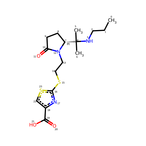 CCCNC(C)(C)[C@H]1CCC(=O)N1CCSc1nc(C(=O)O)cs1